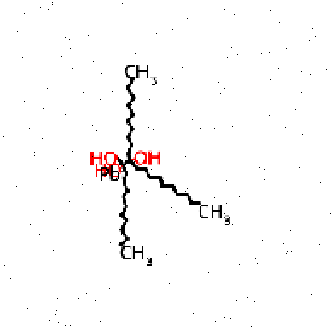 CCCCCCCCCCCC(O)(CO)C(O)(CCCCCCCCCCC)CCCCCCCCCCC.[Pb]